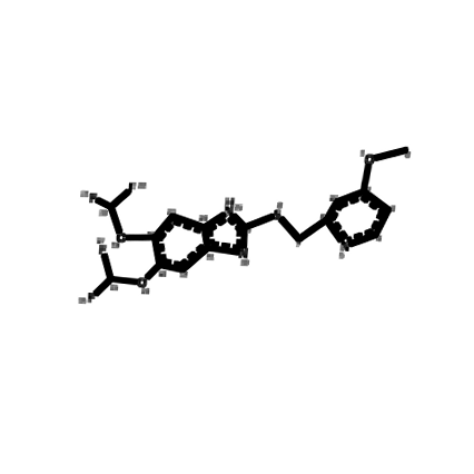 COc1ccnc(CSc2nc3cc(OC(F)F)c(OC(F)F)cc3[nH]2)c1